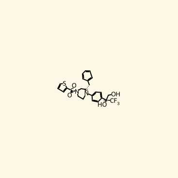 O=S(=O)(c1cccs1)N1CCN(c2ccc([C@@](O)(CO)C(F)(F)F)cc2)[C@@H](Cc2ccccc2)C1